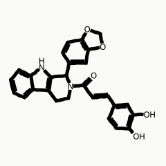 O=C(/C=C/c1ccc(O)c(O)c1)N1CCc2c([nH]c3ccccc23)C1c1ccc2c(c1)OCO2